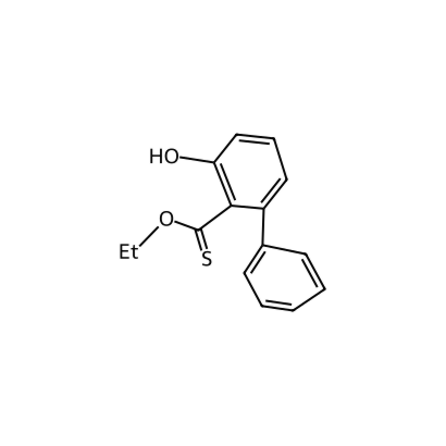 CCOC(=S)c1c(O)cccc1-c1ccccc1